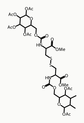 COC(=O)C(CSSCC(NC(=O)OCC1OC(OC(C)=O)C(OC(C)=O)C(OC(C)=O)C1OC(C)=O)C(=O)OC)NC(=O)OCC1OC(OC(C)=O)C(C)C(C)C1OC(C)=O